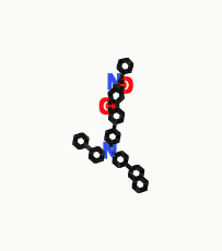 c1ccc(-c2cccc(N(c3ccc(-c4ccc5ccccc5c4)cc3)c3ccc(-c4ccc5c(c4)oc4cc6nc(-c7ccccc7)oc6cc45)cc3)c2)cc1